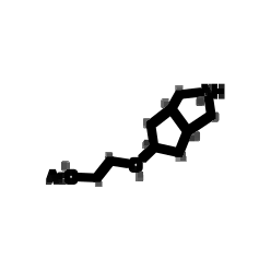 CC(=O)OCCOC1CC2CNCC2C1